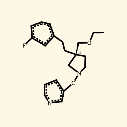 CCOC[C@@]1(CCc2cccc(F)c2)CCN(Cc2cccnc2)C1